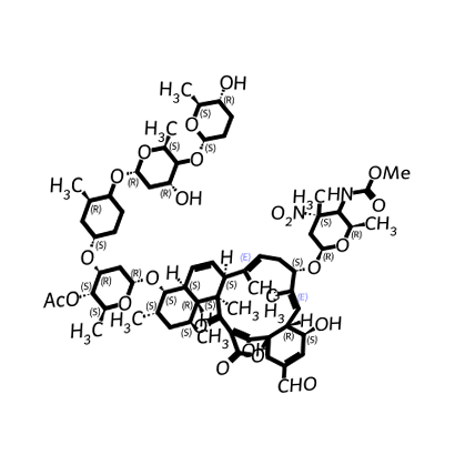 COC(=O)NC1[C@@H](C)O[C@@H](O[C@H]2C/C=C(\C)[C@@H]3C=C[C@@H]4[C@@H](O[C@H]5C[C@@H](O[C@H]6CCC(O[C@H]7C[C@@H](O)C(O[C@H]8CC[C@@H](O)[C@H](C)O8)[C@H](C)O7)[C@H](C)C6)[C@@H](OC(C)=O)[C@H](C)O5)[C@@H](C)C[C@H](C)[C@H]4[C@]3(C)C(=O)C3=C(O)C4(CC(C=O)=C[C@H](O)[C@H]4/C=C/2C)OC3=O)C[C@]1(C)[N+](=O)[O-]